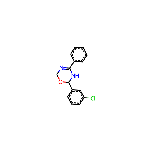 Clc1cccc(C2NC(c3ccccc3)=NCO2)c1